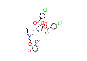 CCCN(CCOc1c(OC)cccc1OC)CCC1=CC=C(OC(=O)c2ccc(Cl)cc2)C(O)(C(=O)c2ccc(Cl)cc2)C1